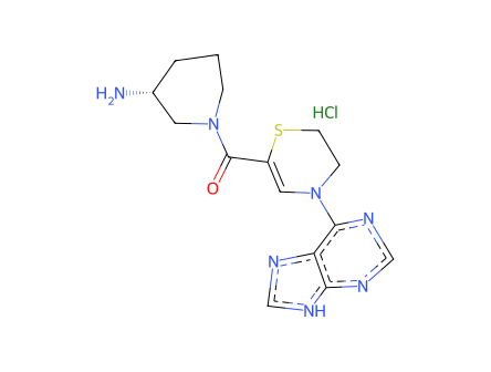 Cl.N[C@@H]1CCCN(C(=O)C2=CN(c3ncnc4[nH]cnc34)CCS2)C1